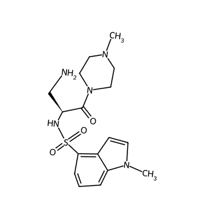 CN1CCN(C(=O)[C@H](CN)NS(=O)(=O)c2cccc3c2ccn3C)CC1